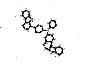 c1ccc(N(c2ccc(-c3cccc4c3sc3ccccc34)cc2)c2ccc3c(ccc4oc5ccccc5c43)c2)cc1